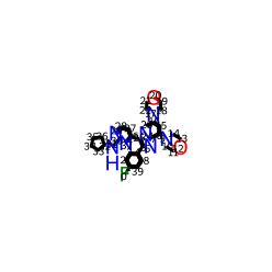 Fc1ccc(-c2nc3c(N4CCOCC4)cc(N4CCOCC4)cn3c2-c2ccnc(NC3CCCC3)n2)cc1